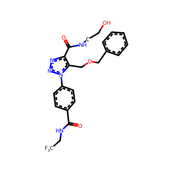 O=C(NCC(F)(F)F)c1ccc(-n2nnc(C(=O)NCCO)c2COCc2ccccc2)cc1